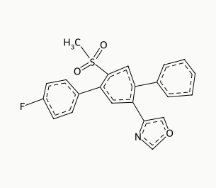 CS(=O)(=O)c1cc(-c2ccccc2)c(-c2cocn2)cc1-c1ccc(F)cc1